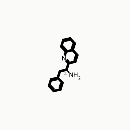 N[C@@H](Cc1ccccc1)c1ccc2ccccc2n1